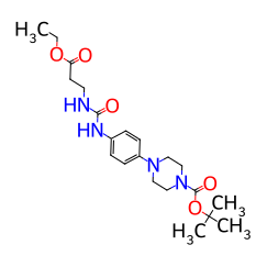 CCOC(=O)CCNC(=O)Nc1ccc(N2CCN(C(=O)OC(C)(C)C)CC2)cc1